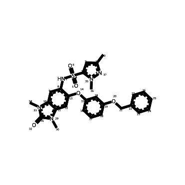 Cc1cc(S(=O)(=O)Nc2cc3c(cc2Oc2cccc(OCc4ccccc4)c2)n(C)c(=O)n3C)n(C)n1